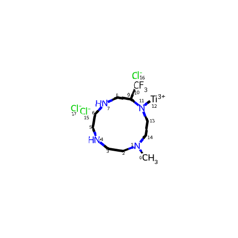 CN1CCNCCNCC(C(F)(F)F)[N]([Ti+3])CC1.[Cl-].[Cl-].[Cl-]